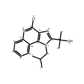 CC(C)Cn1c(C(C)(C)O)nc2c(Cl)nc3ccccc3c21